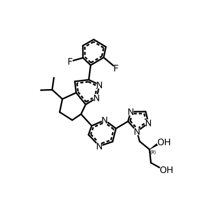 CC(C)C1CCC(c2cncc(-c3ncnn3C[C@@H](O)CO)n2)c2nnc(-c3c(F)cccc3F)cc21